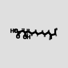 CCC(C)CCCCCCCC(O)CC(=O)O